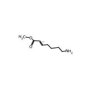 COC(=O)/C=C/CCCCN